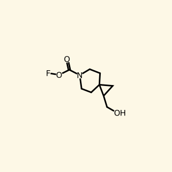 O=C(OF)N1CCC2(CC1)CC2CO